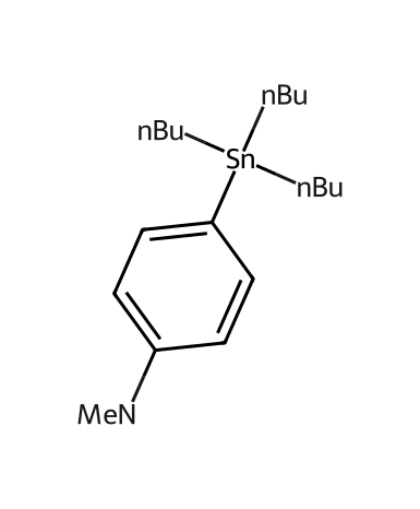 CCC[CH2][Sn]([CH2]CCC)([CH2]CCC)[c]1ccc(NC)cc1